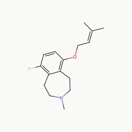 CC(C)=CCOc1ccc(F)c2c1CCN(C)CC2